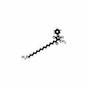 CCCCCCCCCCCCCCCCCC(=O)c1c(C)[nH]n(-c2ccccc2)c1=O